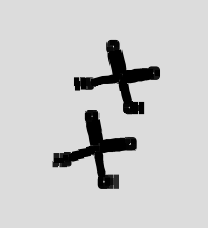 O=S(=O)(O)S.O=S(=O)(O)S